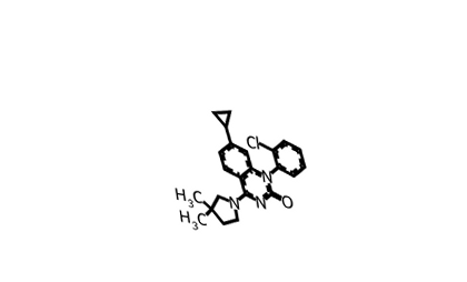 CC1(C)CCN(c2nc(=O)n(-c3ccccc3Cl)c3cc(C4CC4)ccc23)C1